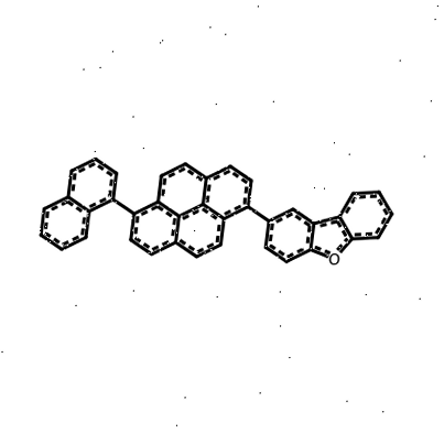 c1ccc2c(-c3ccc4ccc5c(-c6ccc7oc8ccccc8c7c6)ccc6ccc3c4c65)cccc2c1